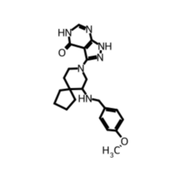 COc1ccc(CNC2CN(c3n[nH]c4nc[nH]c(=O)c34)CCC23CCCC3)cc1